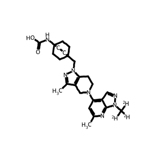 [2H]C([2H])([2H])n1ncc2c(N3CCc4c(c(C)nn4CC45CCC(NC(=O)O)(CC4)CC5)C3)cc(C)nc21